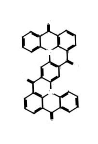 O=c1c2ccccc2n2c3cc4c(=O)c5cccc6c(=O)c7ccccc7n(c4cc3c(=O)c3cccc1c32)c65